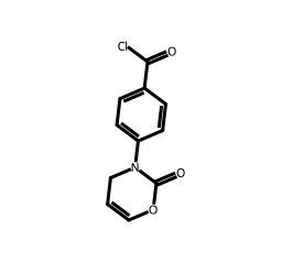 O=C(Cl)c1ccc(N2CC=COC2=O)cc1